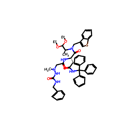 CCOC(OCC)[C@H](C)N(Cc1csc2ccccc12)C(=O)[C@H](CC(=O)NC(c1ccccc1)(c1ccccc1)c1ccccc1)NC(=O)CN(C)NC(=O)NCc1ccccc1